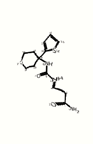 NC(=O)CCNC(=O)NC1(c2cccs2)CCOCC1